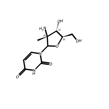 C[C@]1(N)C(n2ccc(=O)[nH]c2=O)O[C@H](CO)[C@H]1O